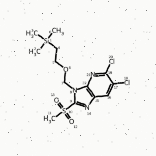 C[Si](C)(C)CCOCn1c(S(C)(=O)=O)nc2cc(Cl)c(Cl)nc21